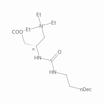 CCCCCCCCCCCCNC(=O)N[C@H](CC(=O)[O-])C[N+](CC)(CC)CC